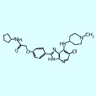 CN1CCC(Nc2c(Cl)cnc3[nH]c(-c4ccc(OCC(=O)NC5CCCC5)cc4)nc23)CC1